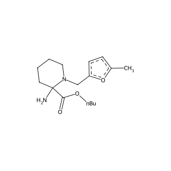 CCCCOC(=O)C1(N)CCCCN1Cc1ccc(C)o1